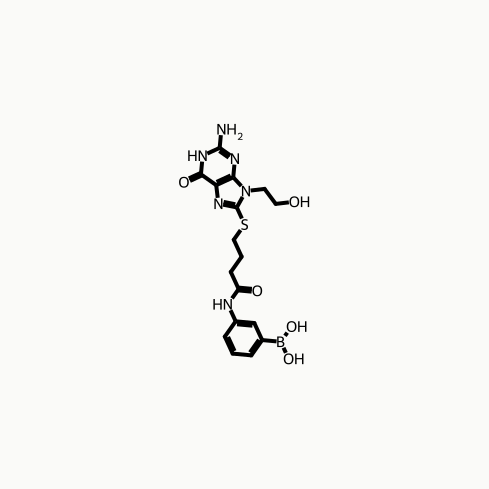 Nc1nc2c(nc(SCCCC(=O)Nc3cccc(B(O)O)c3)n2CCO)c(=O)[nH]1